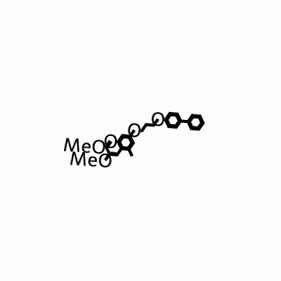 COC(=O)C(=Cc1ccc(OCCCOc2ccc(-c3ccccc3)cc2)cc1C)OC